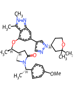 COc1ccc([C@H](C)N2C[C@H]([C@@H](C)Oc3cc(-c4cnn([C@@H]5CCOC(C)(C)C5)c4)cc4nn(C)c(C)c34)CC2=O)cc1